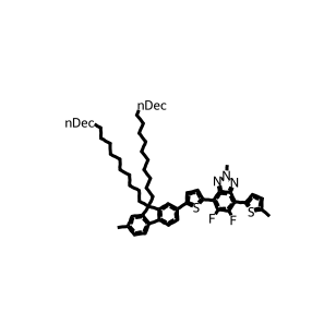 CCCCCCCCCCCCCCCCCCCCC1(CCCCCCCCCCCCCCCCCCCC)c2cc(C)ccc2-c2ccc(-c3ccc(-c4c(F)c(F)c(-c5ccc(C)s5)c5nn(C)nc45)s3)cc21